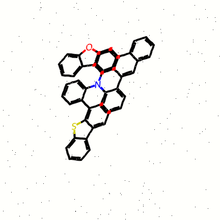 c1ccc(N(c2ccccc2-c2cccc3c2sc2ccccc23)c2cccc3oc4ccccc4c23)c(-c2cc3ccccc3c3ccccc23)c1